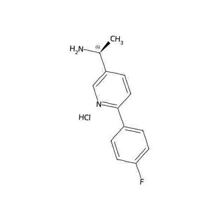 C[C@H](N)c1ccc(-c2ccc(F)cc2)nc1.Cl